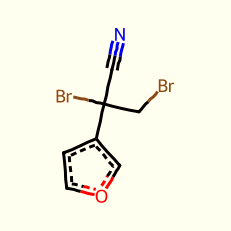 N#CC(Br)(CBr)c1ccoc1